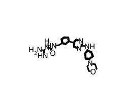 N=C(N)NC(=O)NCc1cccc(-c2cnc(Nc3ccc(N4CCOCC4)cc3)nc2)c1